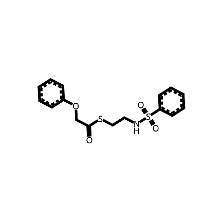 O=C(COc1ccccc1)SCCNS(=O)(=O)c1ccccc1